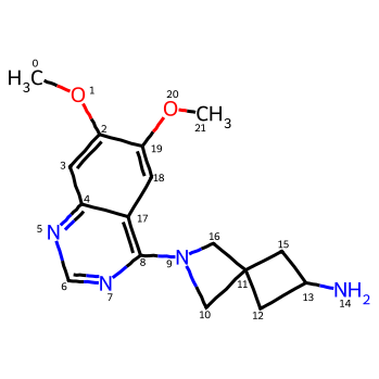 COc1cc2ncnc(N3CC4(CC(N)C4)C3)c2cc1OC